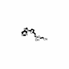 N#CCCOP(O)OCC1CCC(n2cnc3cncnc32)O1